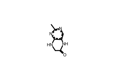 Cc1ncc2c(n1)NCC(=O)N2